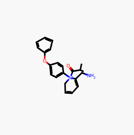 CC(C)C(=O)[N+]1(c2ccc(Oc3ccccc3)cc2)CC=CC=C1CN